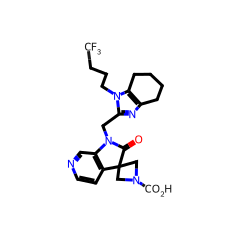 O=C(O)N1CC2(C1)C(=O)N(Cc1nc3c(n1CCCC(F)(F)F)CCCC3)c1cnccc12